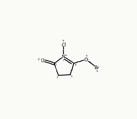 O=C1CCC(OBr)=[N+]1Cl